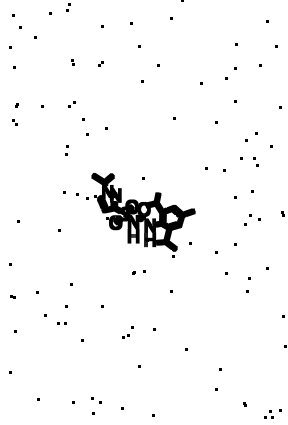 Cc1cc(C(C)C)c(NC(=O)NS(=O)(=O)c2ccn(C(C)C)n2)c(C(C)C)c1